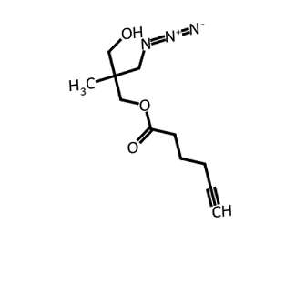 C#CCCCC(=O)OCC(C)(CO)CN=[N+]=[N-]